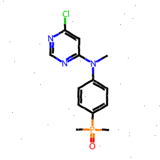 CN(c1ccc(P(C)(C)=O)cc1)c1cc(Cl)ncn1